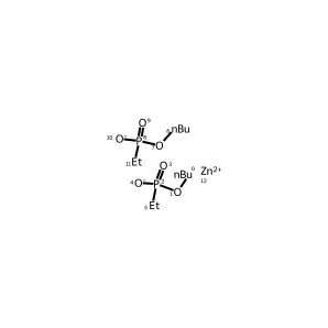 CCCCOP(=O)([O-])CC.CCCCOP(=O)([O-])CC.[Zn+2]